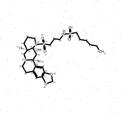 CCCCCCS(=O)(=O)NCCCS(=O)(=O)N1CCC[C@@H]2CN3CCc4cc5c(cc4[C@@H]3C[C@@H]21)OCO5